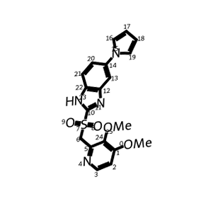 COc1ccnc(CS(=O)(=O)c2nc3cc(-n4cccc4)ccc3[nH]2)c1OC